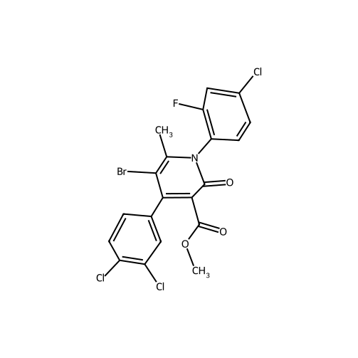 COC(=O)c1c(-c2ccc(Cl)c(Cl)c2)c(Br)c(C)n(-c2ccc(Cl)cc2F)c1=O